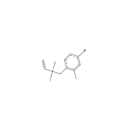 C=CC(I)(I)Cc1ccc(F)cc1C